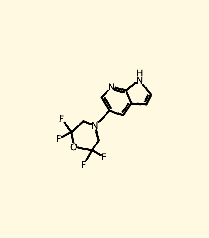 FC1(F)CN(c2cnc3[nH]ccc3c2)CC(F)(F)O1